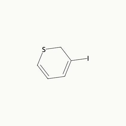 IC1=CC=CSC1